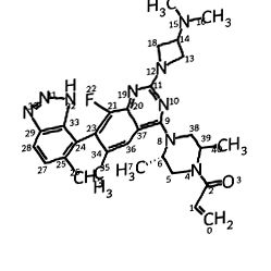 C=CC(=O)N1C[C@H](C)N(c2nc(N3CC(N(C)C)C3)nc3c(F)c(-c4c(C)ccc5nn[nH]c45)c(C)cc23)C[C@H]1C